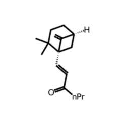 C=C1[C@H]2CCC(C)(C)[C@]1(/C=C/C(=O)CCC)C2